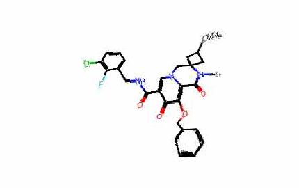 CCN1C(=O)c2c(OCc3ccccc3)c(=O)c(C(=O)NCc3cccc(Cl)c3F)cn2CC12CC(OC)C2